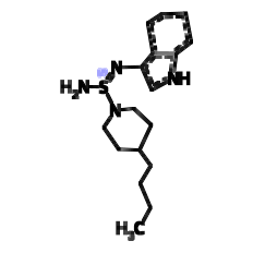 CCCCC1CCN(/S(N)=N\c2c[nH]c3ccccc23)CC1